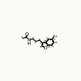 CC(=O)NCCCc1coc2ccc(I)cc12